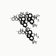 CC(C)C1=CC2=CC[C@@H]3[C@](C)(CCC[C@@]3(C)C(=O)[O-])[C@H]2CC1.CC(C)C1=CC2=CC[C@@H]3[C@](C)(CCC[C@@]3(C)C(=O)[O-])[C@H]2CC1.CC(C)C1=CC2=CC[C@@H]3[C@](C)(CCC[C@@]3(C)C(=O)[O-])[C@H]2CC1.[Al+3]